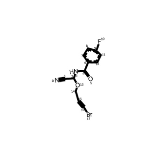 N#CC(NC(=O)c1ccc(F)cc1)OCC#CBr